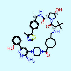 Cc1ncsc1-c1ccc([C@H](C)NC(=O)[C@@H]2C[C@@H](O)CN2C(=O)[C@@H](NCC2CCCC(C(=O)N3CCN(c4cc(-c5ccccc5O)nnc4N)CC3)CC2)C(C)(C)C)cc1